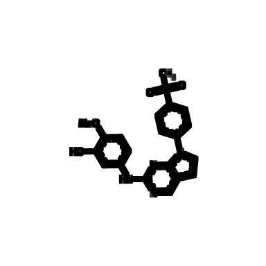 COc1ccc(Nc2ncc3ccn(-c4ccc(S(C)(=O)=O)cc4)c3n2)cc1O